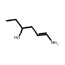 CCC(O)CC=CN